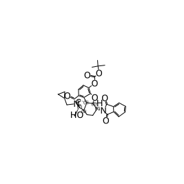 C[C@H]1N(CC2CC2)CC[C@]23c4c(C=O)ccc(OC(=O)OC(C)(C)C)c4O[C@H]2[C@H](N2C(=O)c4ccccc4C2=O)CC[C@@]13O